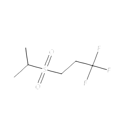 C[C](C)S(=O)(=O)CCC(F)(F)F